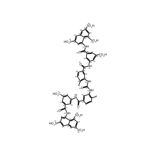 Cc1ccc(C(=O)Nc2cc(C(=O)O)cc(C(=O)Nc3cc(S(=O)(=O)O)cc4cc(S(=O)(=O)O)cc(S(=O)(=O)O)c34)c2)cc1NC(=O)Nc1cc(C(=O)Nc2cc(C(=O)O)cc(C(=O)Nc3cc(S(=O)(=O)O)cc4cc(S(=O)(=O)O)cc(S(=O)(=O)O)c34)c2)ccc1C